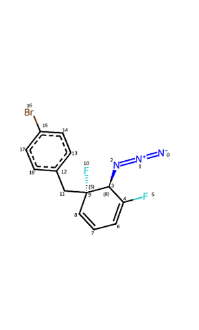 [N-]=[N+]=N[C@H]1C(F)=CC=C[C@@]1(F)Cc1ccc(Br)cc1